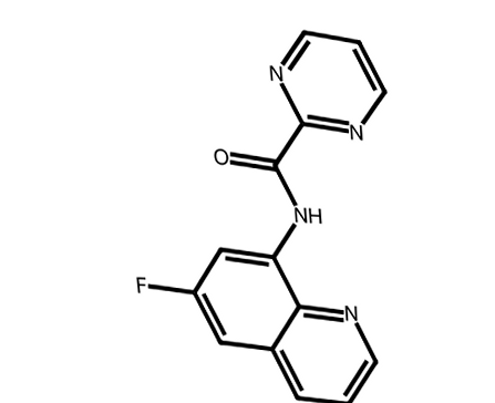 O=C(Nc1cc(F)cc2cccnc12)c1ncccn1